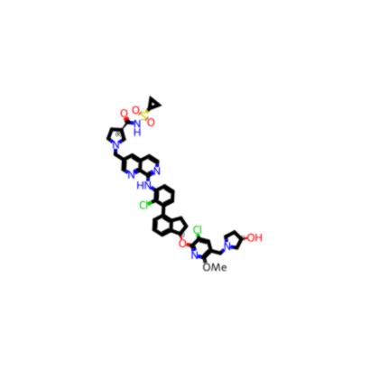 COc1nc(O[C@@H]2CCc3c(-c4cccc(Nc5nccc6cc(CN7CC[C@@H](C(=O)NS(=O)(=O)C8CC8)C7)cnc56)c4Cl)cccc32)c(Cl)cc1CN1CC[C@@H](O)C1